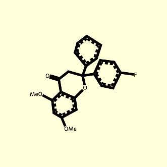 COc1cc(OC)c2c(c1)OC(c1ccccc1)(c1ccc(F)cc1)CC2=O